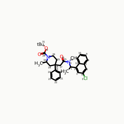 CC(c1cc(Cl)cc2ccccc12)N(C)C(=O)CC1(c2ccccc2)CCN(C(=O)OC(C)(C)C)C(C)C1